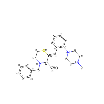 CN1CCN(c2ccccc2C=C2SCCN(Cc3ccccc3)C2C=O)CC1